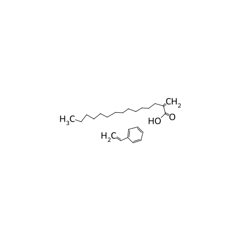 C=C(CCCCCCCCCCCCC)C(=O)O.C=Cc1ccccc1